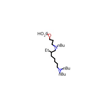 CCCCN(CCCC)CCCCCC(CC)CN(CCCC)CCCOC(=O)O